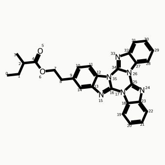 CCC(C)C(=O)OCCc1ccc2c(c1)nc1n3c4ccccc4nc3n3c4ccccc4nc3n21